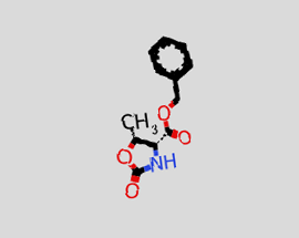 C[C@H]1OC(=O)N[C@H]1C(=O)OCc1ccccc1